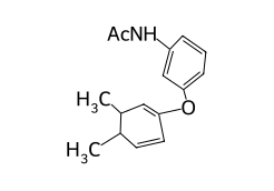 CC(=O)Nc1cccc(OC2=CC(C)C(C)C=C2)c1